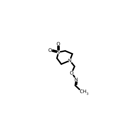 CC=NOCN1CCS(=O)(=O)CC1